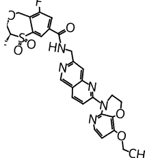 CCOc1ccnc2c1OCCN2c1ccc2cnc(CNC(=O)c3cc(F)c4c(c3)S(=O)(=O)[C@@H](F)COC4)cc2n1